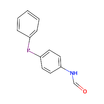 O=CNc1ccc([I+]c2ccccc2)cc1